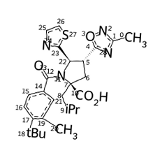 Cc1noc([C@@H]2C[C@@](CC(C)C)(C(=O)O)N(C(=O)c3ccc(C(C)(C)C)c(C)c3)[C@H]2c2nccs2)n1